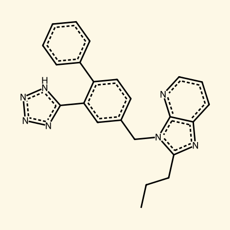 CCCc1nc2cccnc2n1Cc1ccc(-c2ccccc2)c(-c2nnn[nH]2)c1